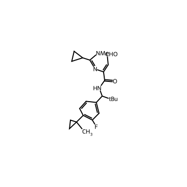 CN/C(=N\C(=C/C=O)C(=O)NC(c1ccc(C2(C)CC2)c(F)c1)C(C)(C)C)C1CC1